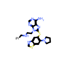 CC(C)CNCCn1c(Sc2cc3ncsc3cc2N2CCCC2)nc2c(N)ncnc21